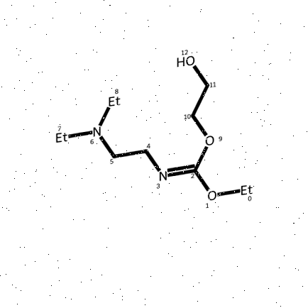 CCOC(=NCCN(CC)CC)OCCO